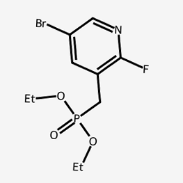 CCOP(=O)(Cc1cc(Br)cnc1F)OCC